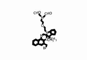 CC1(C)c2ccccc2N(CCOCCN(CC=O)CC=O)C12C=Nc1c(c(CBr)cc3ccccc13)O2